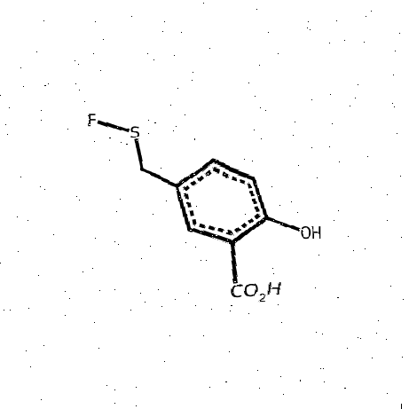 O=C(O)c1cc(CSF)ccc1O